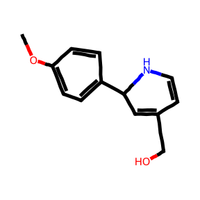 COc1ccc(C2C=C(CO)C=CN2)cc1